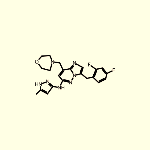 Cc1cc(Nc2cc(CN3CCOCC3)c3ncc(Cc4ccc(F)cc4F)n3n2)n[nH]1